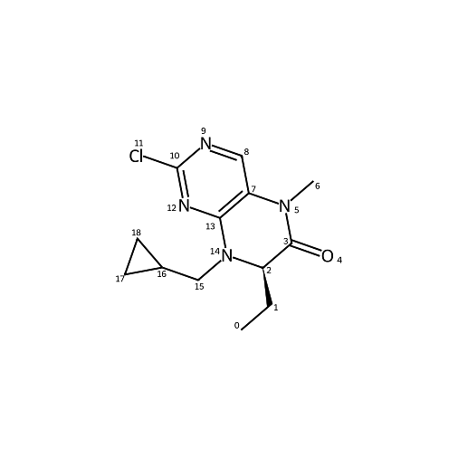 CC[C@@H]1C(=O)N(C)c2cnc(Cl)nc2N1CC1CC1